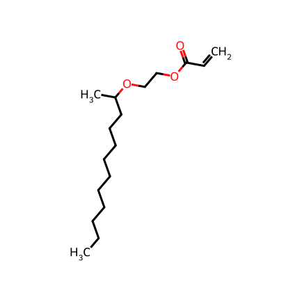 C=CC(=O)OCCOC(C)CCCCCCCCCC